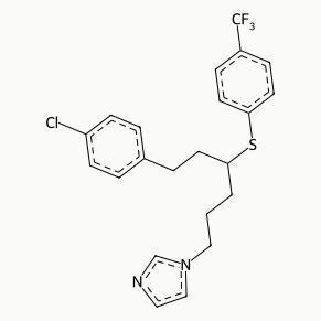 FC(F)(F)c1ccc(SC(CCCn2ccnc2)CCc2ccc(Cl)cc2)cc1